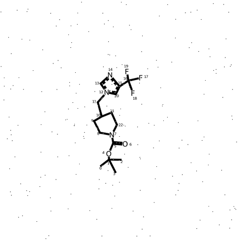 CC(C)(C)OC(=O)N1CCC(Cn2cnc(C(F)(F)F)c2)CC1